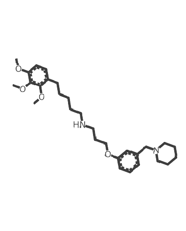 COc1ccc(CCCCCNCCCOc2cccc(CN3CCCCC3)c2)c(OC)c1OC